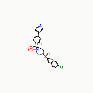 O=C(c1ccc(-c2ccncc2)cc1)N1C2CN(S(=O)(=O)c3cc4ccc(Cl)cc4s3)CC1C(O)C2O